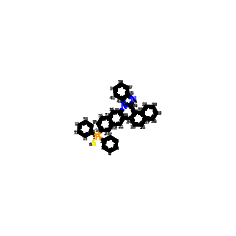 S=P(c1ccccc1)(c1ccccc1)c1ccc2cc3c(cc2c1)c1ccc2ccccc2c1c1nc2ccccc2n31